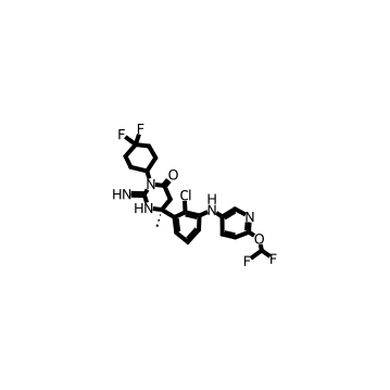 C[C@@]1(c2cccc(Nc3ccc(OC(F)F)nc3)c2Cl)CC(=O)N(C2CCC(F)(F)CC2)C(=N)N1